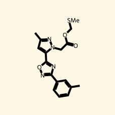 CSCOC(=O)Cn1nc(C)cc1-c1nc(-c2cccc(C)c2)no1